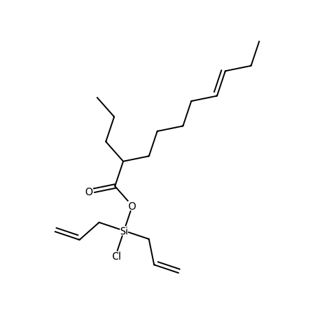 C=CC[Si](Cl)(CC=C)OC(=O)C(CCC)CCCCC=CCC